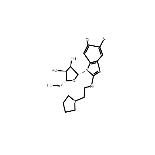 OC[C@H]1O[C@@H](n2c(NCCN3CCCC3)nc3cc(Cl)c(Cl)cc32)[C@H](O)[C@@H]1O